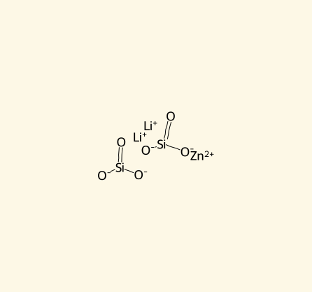 O=[Si]([O-])[O-].O=[Si]([O-])[O-].[Li+].[Li+].[Zn+2]